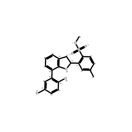 COS(=O)(=O)c1ccc(C)cc1C1Cc2cccc(-c3cc(Cl)ccc3Cl)c2O1